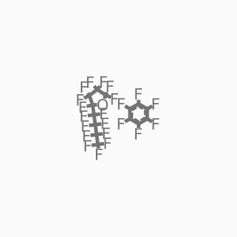 FC(F)(F)C(F)(F)C(F)(F)C(F)(F)C1(F)OC(F)(F)C(F)(F)C1(F)F.Fc1c(F)c(F)c(F)c(F)c1F